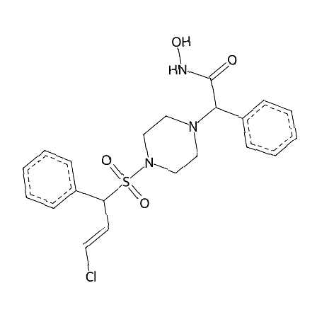 O=C(NO)C(c1ccccc1)N1CCN(S(=O)(=O)C(C=CCl)c2ccccc2)CC1